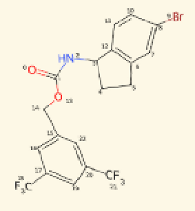 O=C(NC1CCc2cc(Br)ccc21)OCc1cc(C(F)(F)F)cc(C(F)(F)F)c1